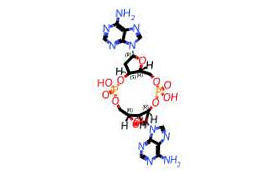 Nc1ncnc2c1ncn2[C@@H]1O[C@@H]2COP(=O)(O)O[C@H]3C[C@H](n4cnc5c(N)ncnc54)O[C@@H]3COP(=O)(O)O[C@@H]1[C@@H]2O